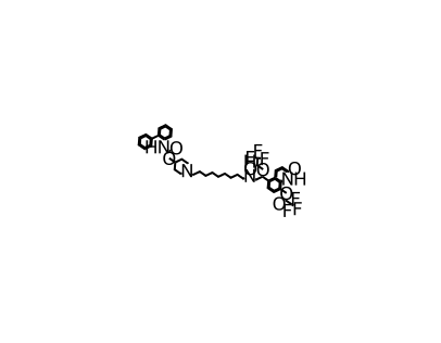 O=C(Nc1ccccc1-c1ccccc1)OC1CCN(CCCCCCCCCNCC(OC(=O)C(F)(F)F)c2ccc(OC(=O)C(F)(F)F)c3[nH]c(=O)ccc23)CC1